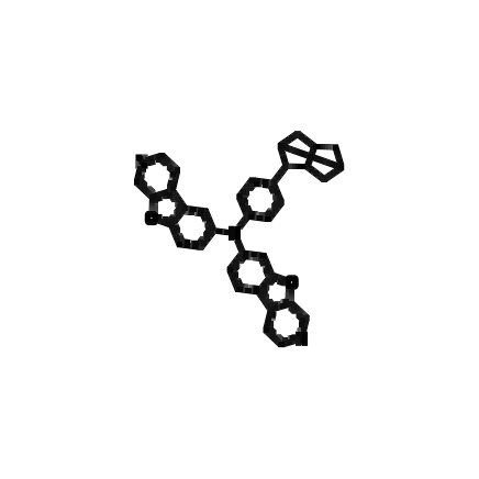 c1cc2c(cn1)oc1cc(N(c3ccc(C4C5CC6CC5CC64)cc3)c3ccc4oc5cnccc5c4c3)ccc12